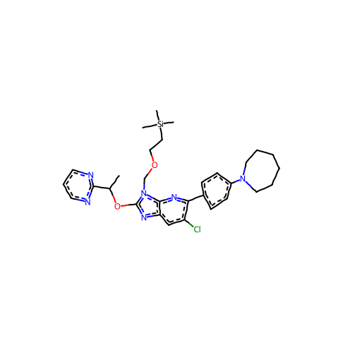 CC(Oc1nc2cc(Cl)c(-c3ccc(N4CCCCCC4)cc3)nc2n1COCC[Si](C)(C)C)c1ncccn1